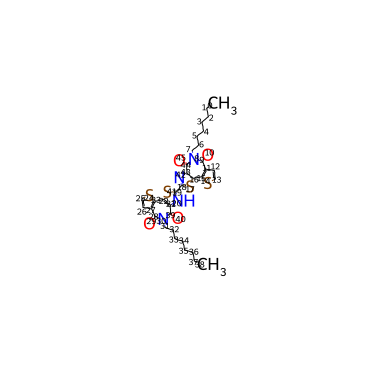 CCCCCCCCN1C(=O)c2ccsc2C2SC(C3Nc4c(c5sccc5c(=O)n(CCCCCCCC)c4=O)S3)=NC2C1=O